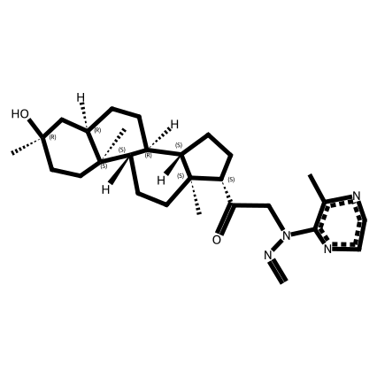 C=NN(CC(=O)[C@H]1CC[C@H]2[C@@H]3CC[C@@H]4C[C@](C)(O)CC[C@]4(C)[C@H]3CC[C@]12C)c1nccnc1C